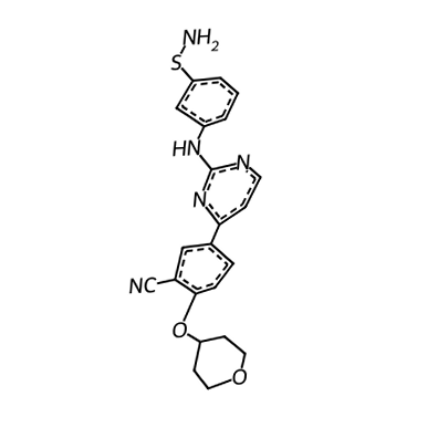 N#Cc1cc(-c2ccnc(Nc3cccc(SN)c3)n2)ccc1OC1CCOCC1